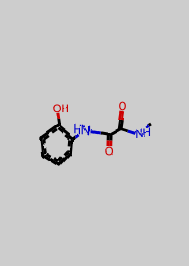 CNC(=O)C(=O)Nc1ccccc1O